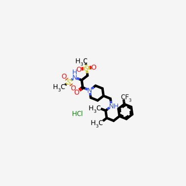 CC(Cc1cccc(C(F)(F)F)c1)C(C)NCC1CCN(C(=O)C(CS(C)(=O)=O)NS(C)(=O)=O)CC1.Cl